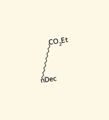 CCCCCCCCCCCCCCCCCCCCCCCCCC(=O)OCC